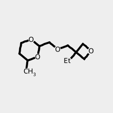 CCC1(COCC2OCCC(C)O2)COC1